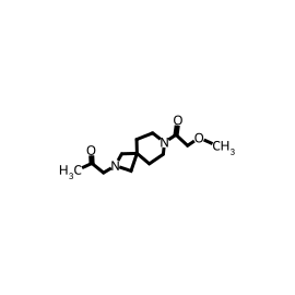 COCC(=O)N1CCC2(CC1)CN(CC(C)=O)C2